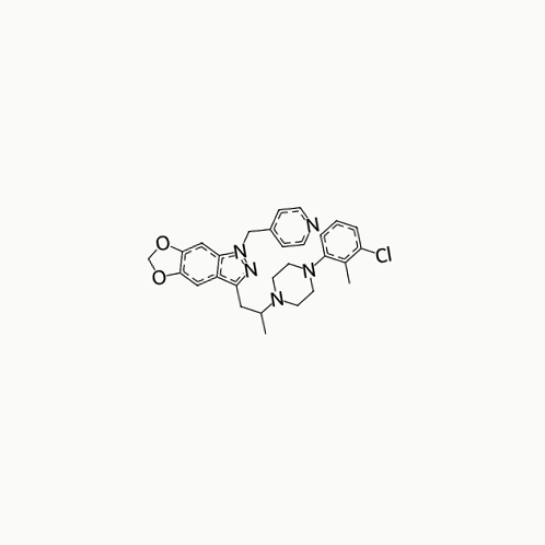 Cc1c(Cl)cccc1N1CCN(C(C)Cc2nn(Cc3ccncc3)c3cc4c(cc23)OCO4)CC1